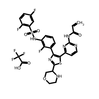 C=CC(=O)Nc1nccc(-c2sc(C3COCCN3)nc2-c2cccc(NS(=O)(=O)c3cc(F)ccc3F)c2F)n1.O=C(O)C(F)(F)F